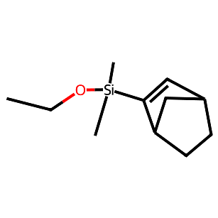 CCO[Si](C)(C)C1=CC2CCC1C2